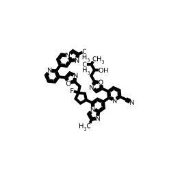 Cc1cn2ccc(-c3ncccc3-c3cnc(CC4(F)CCC(c5cc(-c6nc(C#N)ccc6-c6cnc(CC(O)C(C)C)o6)cc6nc(C)cn56)C4)o3)cc2n1